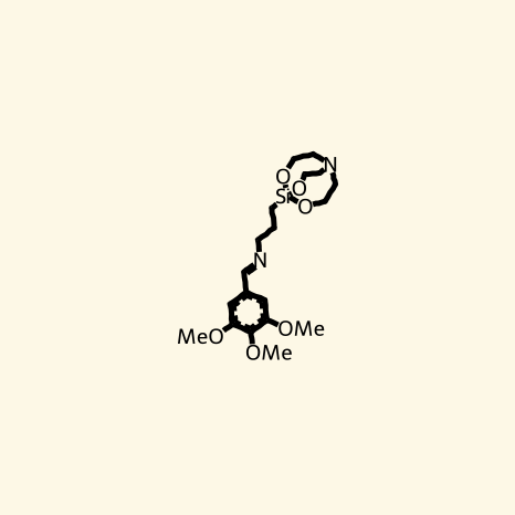 COc1cc(C=NCCC[Si]23OCCN(CCO2)CCO3)cc(OC)c1OC